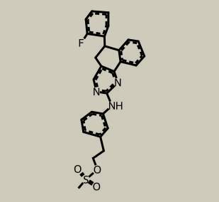 CS(=O)(=O)OCCc1cccc(Nc2ncc3c(n2)-c2ccccc2C(c2ccccc2F)C3)c1